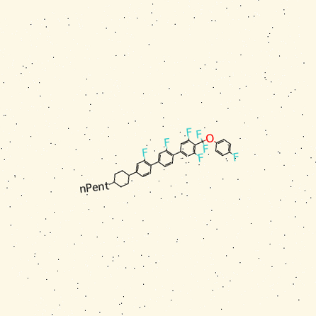 CCCCCC1CCC(c2ccc(-c3ccc(-c4cc(F)c(C(F)(F)Oc5ccc(F)cc5)c(F)c4)c(F)c3)c(F)c2)CC1